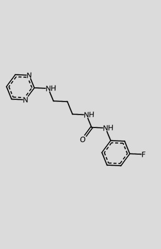 O=C(NCCCNc1ncccn1)Nc1cccc(F)c1